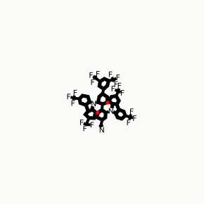 N#Cc1ccc(-c2ccc(-c3cc(C(F)(F)F)cc(C(F)(F)F)c3)cc2-n2c3ccc(C(F)(F)F)cc3c3cc(C(F)(F)F)ccc32)c(-n2c3ccc(C(F)(F)F)cc3c3cc(C(F)(F)F)ccc32)c1